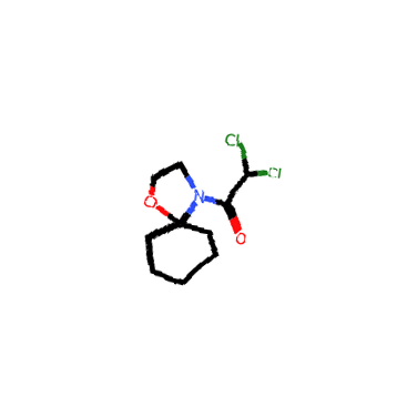 O=C(C(Cl)Cl)N1CCOC12CCCCC2